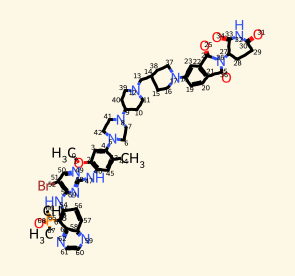 COc1cc(N2CCN(C3CCN(CC4CCN(c5ccc6c(c5)C(=O)N(C5CCC(=O)NC5=O)C6=O)CC4)CC3)CC2)c(C)cc1Nc1ncc(Br)c(Nc2ccc3nccnc3c2P(C)(C)=O)n1